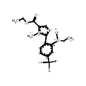 CCOC(=O)c1cnc(-c2ccc(C(F)(F)F)cc2[S+]([O-])CC)n1C